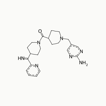 N=C(c1ccccn1)C1CCN(C(=O)C2CCN(Cc3cnc(N)nc3)CC2)CC1